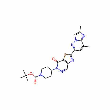 Cc1cn2nc(-c3nc4cnn(C5CCN(C(=O)OC(C)(C)C)CC5)c(=O)c4s3)cc(C)c2n1